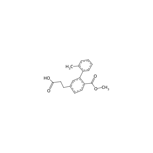 COC(=O)c1ccc(CCC(=O)O)cc1-c1ccccc1C